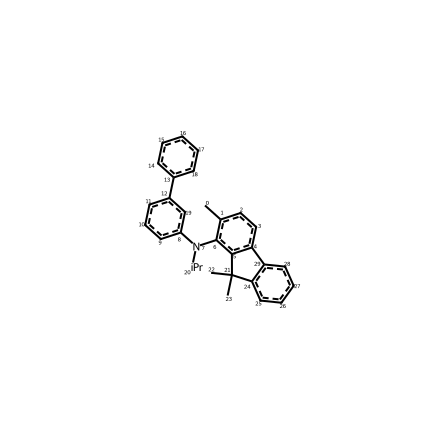 Cc1ccc2c(c1N(c1cccc(-c3ccccc3)c1)C(C)C)C(C)(C)c1ccccc1-2